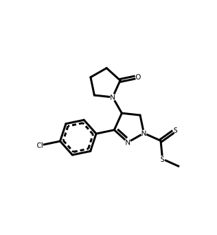 CSC(=S)N1CC(N2CCCC2=O)C(c2ccc(Cl)cc2)=N1